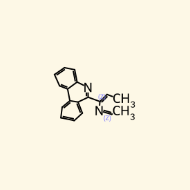 C/C=N\C(=C/C)c1nc2ccccc2c2ccccc12